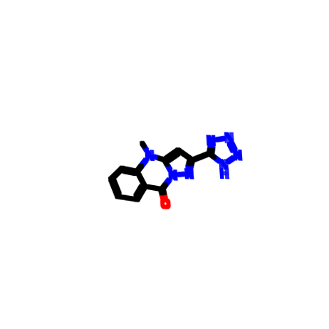 Cn1c2ccccc2c(=O)n2nc(-c3nnn[nH]3)cc12